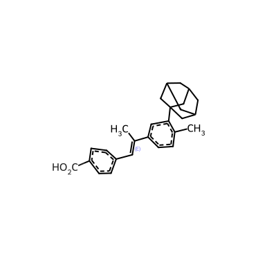 C/C(=C\c1ccc(C(=O)O)cc1)c1ccc(C)c(C23CC4CC(CC(C4)C2)C3)c1